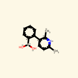 Cc1ccc(-c2ccccc2B(O)O)c(C)n1